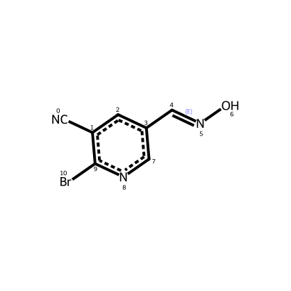 N#Cc1cc(/C=N/O)cnc1Br